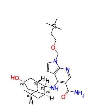 C[Si](C)(C)CCOCn1ccc2c(N[C@@H]3[C@@H]4C[C@@H]5C[C@H]3C[C@@](O)(C5)C4)c(C(N)=O)cnc21